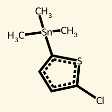 [CH3][Sn]([CH3])([CH3])[c]1ccc(Cl)s1